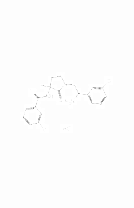 CC1(NC(=O)c2cccc(Cl)c2)CCN(CC(N)c2cccc(Cl)c2)C1=S.Cl